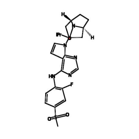 CC(C)ON1[C@H]2CC[C@H]1CC(n1ccc3c(Nc4ccc(S(C)(=O)=O)cc4F)ncnc31)C2